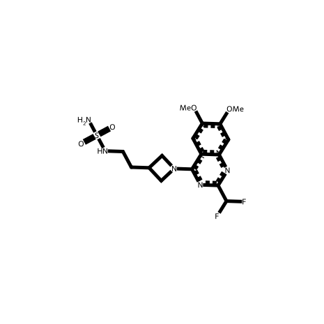 COc1cc2nc(C(F)F)nc(N3CC(CCNS(N)(=O)=O)C3)c2cc1OC